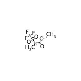 CCOC(=O)[C@@H](C)S(=O)(=O)C(F)(F)F